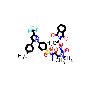 Cc1ccc(-c2cc(C(F)(F)F)nn2-c2ccc(S(=O)(=O)NC(=O)[C@H](C)N(C)[N+]([O-])=NOC(C)N3C(=O)c4ccccc4C3=O)cc2)cc1